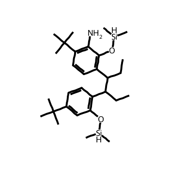 CCC(c1ccc(C(C)(C)C)cc1O[SiH](C)C)C(CC)c1ccc(C(C)(C)C)c(N)c1O[SiH](C)C